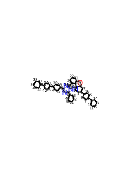 CC12C=CC(c3ccc(-c4ccccc4)cc3)=CC1Oc1cccc(C3=NC(c4ccc(-c5ccc(-c6ccccc6)cc5)cc4)=NC(c4ccccc4)N3)c12